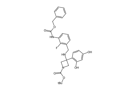 CC(C)(C)OC(=O)N1CC(NCc2cccc(NC(=O)OCc3ccccc3)c2F)(c2ccc(O)cc2O)C1